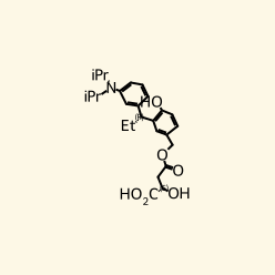 CC[C@H](c1cccc(N(C(C)C)C(C)C)c1)c1cc(COC(=O)C[C@H](O)C(=O)O)ccc1O